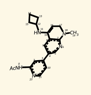 CC(=O)Nc1cc(-c2cnc3c(c2)C(NC2CCC2)=CCN3C)ccn1